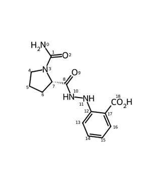 NC(=O)N1CCC[C@H]1C(=O)NNc1ccccc1C(=O)O